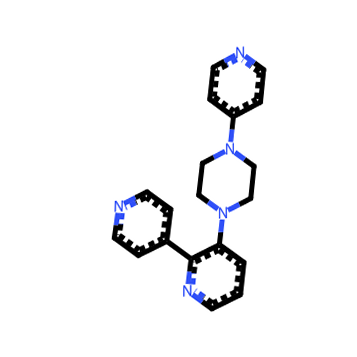 c1cnc(-c2ccncc2)c(N2CCN(c3ccncc3)CC2)c1